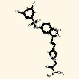 CN(C)C(=O)Cn1cc(/C=C/c2n[nH]c3ccc(NS(=O)(=O)c4cc(F)cc(F)c4)cc23)cn1